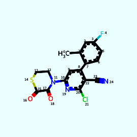 Cc1cc(F)ccc1-c1cc(N2CCSC(=O)C2=O)nc(Cl)c1C#N